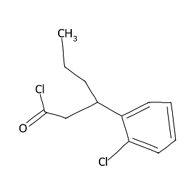 CCCC(CC(=O)Cl)c1ccccc1Cl